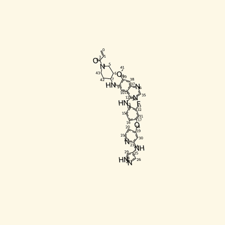 C=CC(=O)N1CCC(Nc2cc3c(Nc4ccc(Oc5ccnc(Nc6cn[nH]c6)c5)cc4F)ncnc3cc2OC)CC1